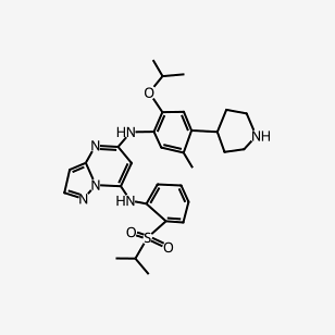 Cc1cc(Nc2cc(Nc3ccccc3S(=O)(=O)C(C)C)n3nccc3n2)c(OC(C)C)cc1C1CCNCC1